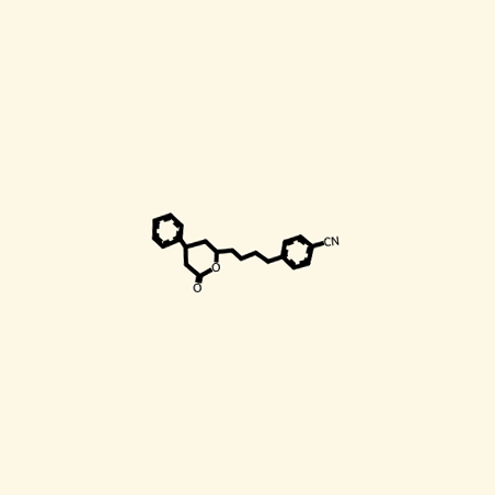 N#Cc1ccc(CCCCC2CC(c3ccccc3)CC(=O)O2)cc1